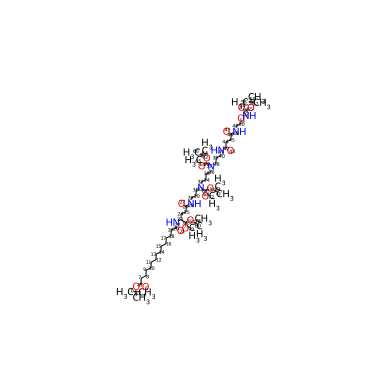 CC(C)(C)OC(=O)CCCCCCCCCCCCCC(=O)N[C@@H](CCC(=O)NCCCN(CCCCN(CCCNC(=O)CCC(=O)NCCONC(=O)OC(C)(C)C)C(=O)OC(C)(C)C)C(=O)OC(C)(C)C)C(=O)OC(C)(C)C